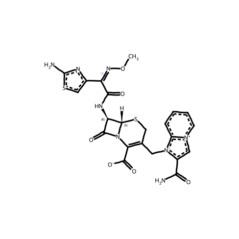 CO/N=C(\C(=O)N[C@@H]1C(=O)N2C(C(=O)[O-])=C(Cn3c(C(N)=O)c[n+]4ccccc34)CS[C@@H]12)c1csc(N)n1